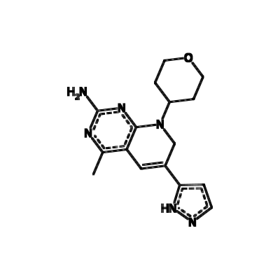 Cc1nc(N)nc2c1C=C(c1ccn[nH]1)CN2C1CCOCC1